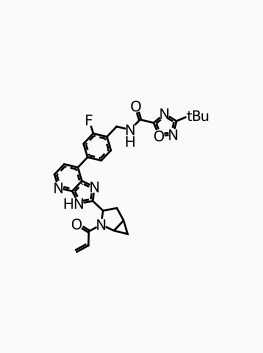 C=CC(=O)N1C(c2nc3c(-c4ccc(CNC(=O)c5nc(C(C)(C)C)no5)c(F)c4)ccnc3[nH]2)CC2CC21